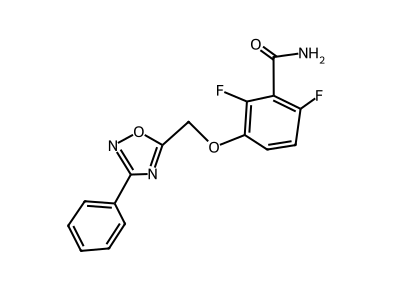 NC(=O)c1c(F)ccc(OCc2nc(-c3ccccc3)no2)c1F